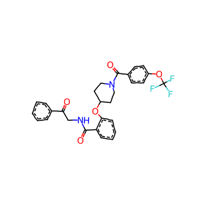 O=C(CNC(=O)c1ccccc1OC1CCN(C(=O)c2ccc(OC(F)(F)F)cc2)CC1)c1ccccc1